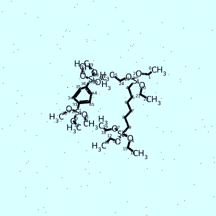 CCO[Si](CCCCCC[Si](OCC)(OCC)OCC)(OCC)OCC.CO[Si](OC)(OC)c1ccc([Si](OC)(OC)OC)cc1